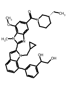 CC[C@@H]1CCCN(C(=O)c2cc(OC)c3c(c2)nc(-c2cc4cccc(-c5cccc(C(O)CO)c5)c4n2CC2CC2)n3C)C1